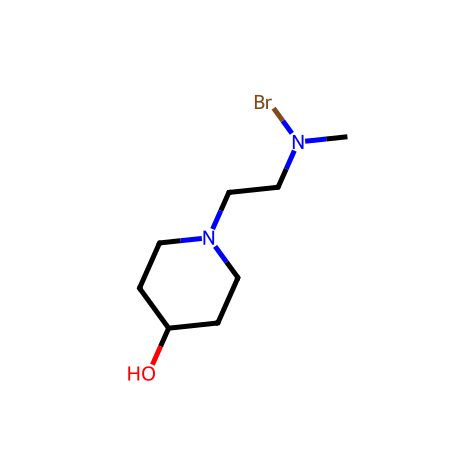 CN(Br)CCN1CCC(O)CC1